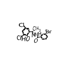 C/C(=N\NC(=O)c1cccc(Br)c1)c1cc(Cl)cc(Cl)c1O